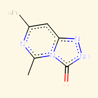 CCCc1cc2n[nH]c(=O)n2c(C)n1